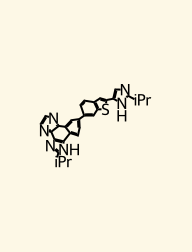 CC(C)c1ncc(-c2cc3ccc(-c4ccc5c(c4)c4nccnc4c4nc(C(C)C)[nH]c54)cc3s2)[nH]1